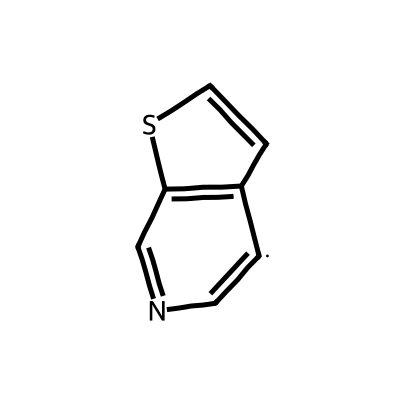 [c]1cncc2sccc12